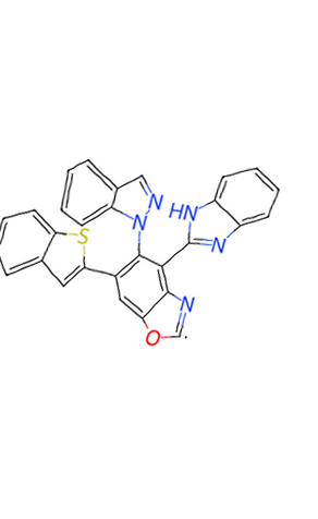 [c]1nc2c(-c3nc4ccccc4[nH]3)c(-n3ncc4ccccc43)c(-c3cc4ccccc4s3)cc2o1